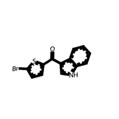 O=C(c1ccc(Br)s1)c1c[nH]c2ccccc12